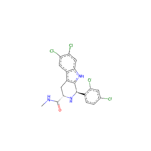 CNC(=O)[C@@H]1Cc2c([nH]c3cc(Cl)c(Cl)cc23)[C@@H](c2ccc(Cl)cc2Cl)N1